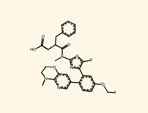 CN1CCOc2cc(-c3ccc(OCF)cc3-c3nc(N(C)C(=O)C(CC(=O)O)Cc4ccccc4)sc3F)cnc21